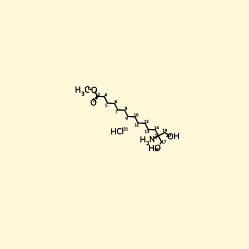 COC(=O)CCCCCCCCCCCC(N)(CO)CO.Cl